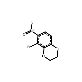 O=[N+]([O-])c1ccc2c(c1Br)OCCO2